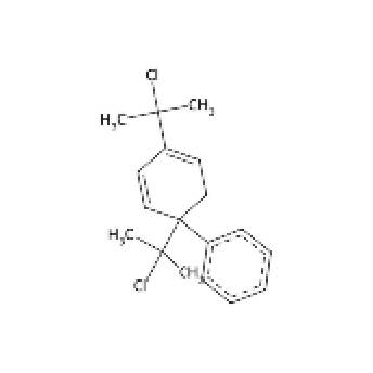 CC(C)(Cl)C1=CCC(c2ccccc2)(C(C)(C)Cl)C=C1